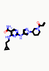 C=CC(=O)N1CCCC(n2cc(Nc3ncc(C(N)=O)c(NCCC4CC4)n3)cn2)C1